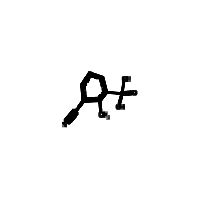 Cc1c(C#N)cccc1P(=O)(O)O